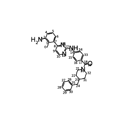 Cc1c(N)cccc1-c1ccnc(Nc2ccc(C(=O)N3CCC(Cc4ccccc4)CC3)cc2)n1